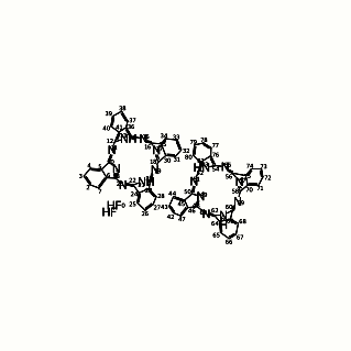 F.F.c1ccc2c(c1)-c1nc-2nc2[nH]c(nc3nc(nc4[nH]c(n1)c1ccccc41)-c1ccccc1-3)c1ccccc21.c1ccc2c(c1)-c1nc-2nc2[nH]c(nc3nc(nc4[nH]c(n1)c1ccccc41)-c1ccccc1-3)c1ccccc21